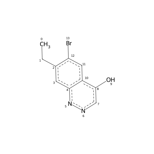 CCc1cc2nncc(O)c2cc1Br